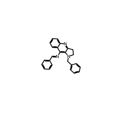 C(=Nc1c2c(nc3ccccc13)CCN2Cc1ccccc1)c1ccccc1